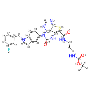 CC(C)(C)OC(=O)NCCCNC(=O)c1sc2ncnc3c2c1NC(=O)N3c1ccc2c(ccn2Cc2cccc(F)c2)c1